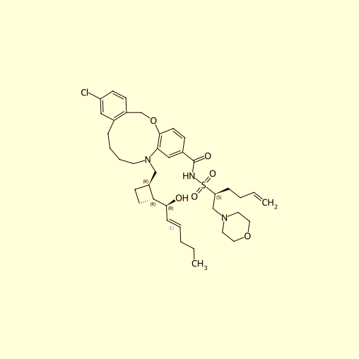 C=CCC[C@@H](CN1CCOCC1)S(=O)(=O)NC(=O)c1ccc2c(c1)N(C[C@@H]1CC[C@H]1[C@@H](O)/C=C/CCC)CCCCc1cc(Cl)ccc1CO2